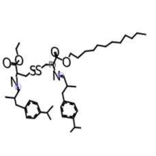 CCCCCCCCCCCCOC(=O)[C@H](CSSCC(/N=C/C(C)Cc1ccc(C(C)C)cc1)C(=O)OCC)/N=C/C(C)Cc1ccc(C(C)C)cc1